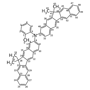 Cc1ccccc1N(c1ccc2cc3c(cc2c1)C(C)(C)c1cc2ccccc2cc1-3)c1ccc2cc3c(cc2c1)C(C)(C)c1cc2ccccc2cc1-3